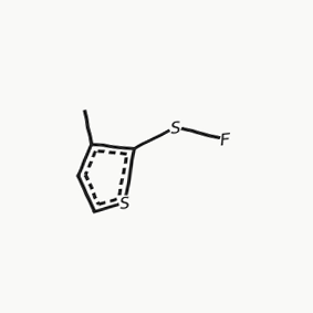 Cc1ccsc1SF